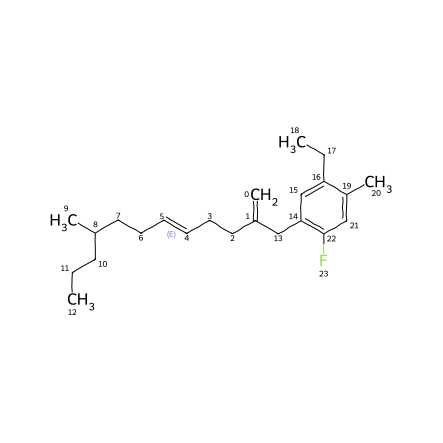 C=C(CC/C=C/CCC(C)CCC)Cc1cc(CC)c(C)cc1F